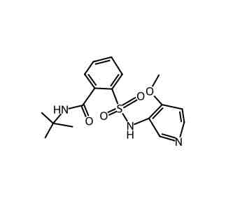 COc1ccncc1NS(=O)(=O)c1ccccc1C(=O)NC(C)(C)C